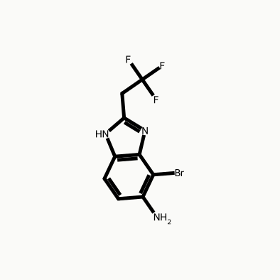 Nc1ccc2[nH]c(CC(F)(F)F)nc2c1Br